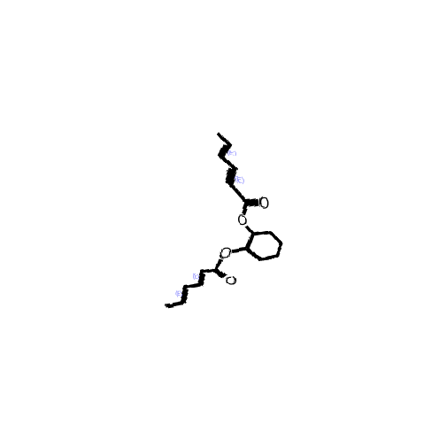 C/C=C/C=C/C(=O)OC1CCCCC1OC(=O)/C=C/C=C/C